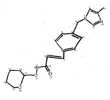 Cc1cn(Cc2ccc(/C=C/C(=O)NOC3CCCCO3)cc2)cn1